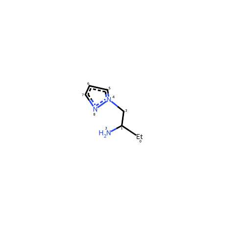 CCC(N)Cn1cccn1